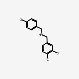 Clc1ccc(CNCc2ccc(Cl)c(Cl)c2)cc1